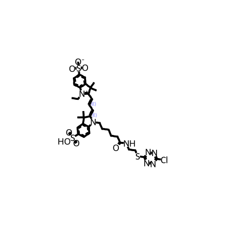 CC[N+]1=C(/C=C/C=C2/N(CCCCCC(=O)NCCSc3nnc(Cl)nn3)c3ccc(S(=O)(=O)O)cc3C2(C)C)C(C)(C)c2cc(S(=O)(=O)[O-])ccc21